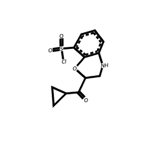 O=C(C1CC1)C1CNc2cccc(S(=O)(=O)Cl)c2O1